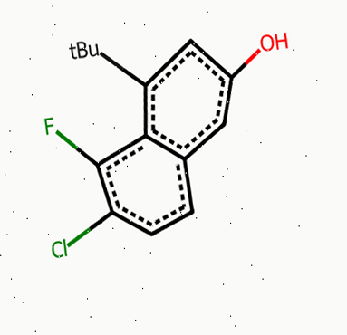 CC(C)(C)c1cc(O)cc2ccc(Cl)c(F)c12